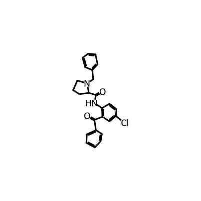 O=C(c1ccccc1)c1cc(Cl)ccc1NC(=O)C1CCCN1Cc1ccccc1